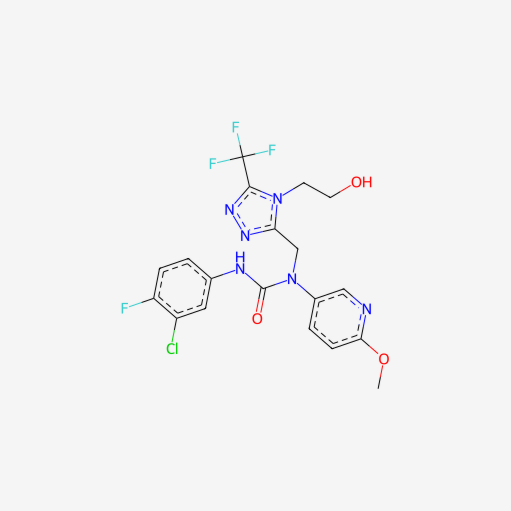 COc1ccc(N(Cc2nnc(C(F)(F)F)n2CCO)C(=O)Nc2ccc(F)c(Cl)c2)cn1